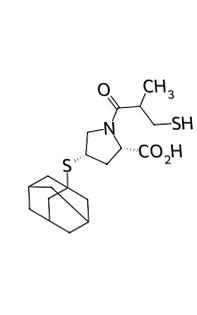 CC(CS)C(=O)N1C[C@@H](SC23CC4CC(CC(C4)C2)C3)C[C@H]1C(=O)O